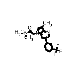 Cc1cn(CC(=O)N(C)C)c2cc(-c3cccc(C(F)(F)F)c3)cnc12